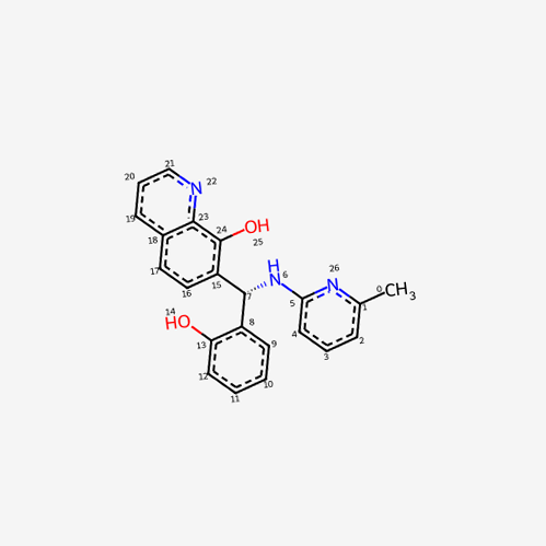 Cc1cccc(N[C@H](c2ccccc2O)c2ccc3cccnc3c2O)n1